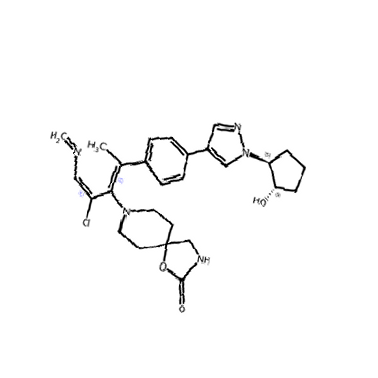 C=N/C=C(Cl)\C(=C(/C)c1ccc(-c2cnn([C@H]3CCC[C@@H]3O)c2)cc1)N1CCC2(CC1)CNC(=O)O2